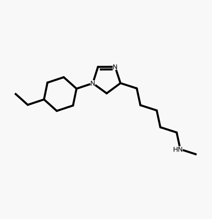 CCC1CCC(N2C=NC(CCCCCNC)C2)CC1